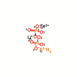 O=P([O-])([O-])[O-].O=P([O-])([O-])[O-].[Fe+2].[Li+].[PH6+3]